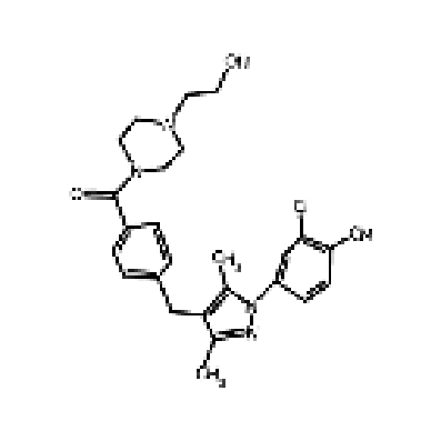 Cc1nn(-c2ccc(C#N)c(Cl)c2)c(C)c1Cc1ccc(C(=O)N2CCN(CCO)CC2)cc1